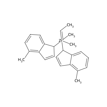 C[CH]=[Zr]([CH3])([CH3])([CH]1C=Cc2c(C)cccc21)[CH]1C=Cc2c(C)cccc21